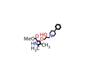 COC(=O)c1[nH]c(C)c(C)c1OCC(O)CN1CCC(c2ccccc2)CC1